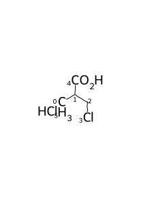 CC(CCl)C(=O)O.Cl